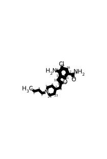 CCCCN1CCC(Cc2cc3c(N)c(Cl)cc(C(N)=O)c3o2)CC1